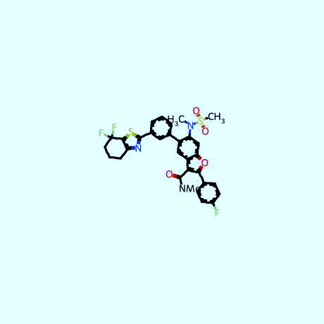 CNC(=O)c1c(-c2ccc(F)cc2)oc2cc(N(C)S(C)(=O)=O)c(-c3cccc(-c4nc5c(s4)C(F)(F)CCC5)c3)cc12